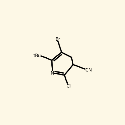 CC(C)(C)C1=C(Br)CC(C#N)C(Cl)=N1